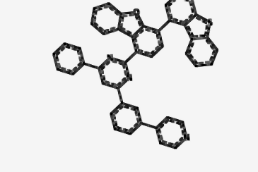 c1ccc(-c2cc(-c3cccc(-c4ccncc4)c3)nc(-c3ccc(-c4cccc5sc6ccccc6c45)c4oc5ccccc5c34)n2)cc1